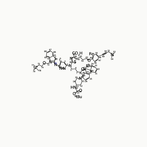 Cc1cc(N(CCCC(CN2CCC(NC(=O)OC(C)(C)C)CC2)O[Si](c2ccccc2)(c2ccccc2)C(C)(C)C)c2nc(C(=O)O)c(CCCOc3ccc(C#CCN(C)C)cc3F)s2)nnc1/N=c1\sc2ccccc2n1COCC[Si](C)(C)C